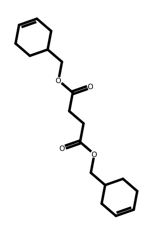 O=C(CCC(=O)OCC1CC=CCC1)OCC1CC=CCC1